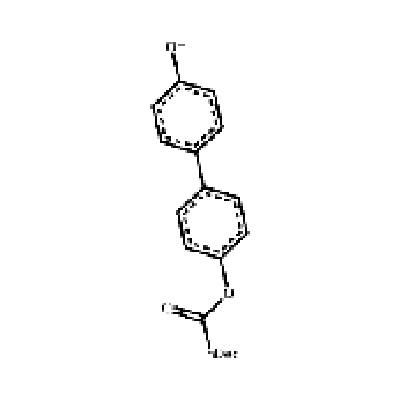 CCCCCCCCCCC(=O)Oc1ccc(-c2ccc(O)cc2)cc1